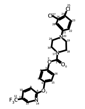 O=C(Oc1ccc(Oc2ccc(C(F)(F)F)cn2)cc1)N1CCN(c2ccc(Cl)c(Cl)c2)CC1